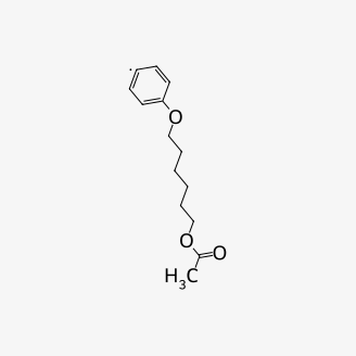 CC(=O)OCCCCCCOc1cc[c]cc1